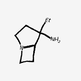 CCC1(N)CCN2CCC21